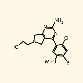 COc1cc(-c2nc(N)nc3c2CN(CCO)C3)c(Cl)cc1Br